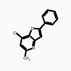 Cc1cc(Cl)c2oc(-c3ccccc3)cc2n1